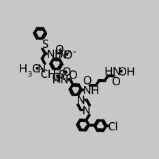 CN(C)CCC(CSc1ccccc1)Nc1ccc(S(=O)(=O)NC(=O)c2ccc(N3CCN(Cc4ccccc4-c4ccc(Cl)cc4)CC3)c(NC(=O)CCCCC(=O)NO)c2)cc1[N+](=O)[O-]